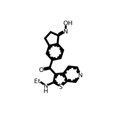 CCNc1sc2cnccc2c1C(=O)c1ccc2c(c1)CCC2=NO